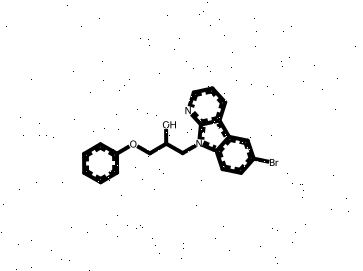 OC(COc1ccccc1)Cn1c2ccc(Br)cc2c2cccnc21